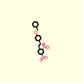 O=[N+]([O-])c1ccc(/C=C/c2ccc(OCc3ccccc3)cc2)c([N+](=O)[O-])c1